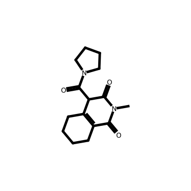 CN1C(=O)C2=C(CCCC2)C(C(=O)N2CCCC2)C1=O